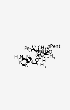 CCCCCOC(=O)C(C)(C)NP(=O)(COC(C)Cn1cnc2c(N)ncnc21)N[C@H](C)CC(=O)OC(C)C